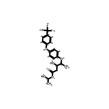 CC(O)OC(=O)CC(O)C(C)Oc1ccc(Oc2ccc(C(F)(F)F)cc2)cc1